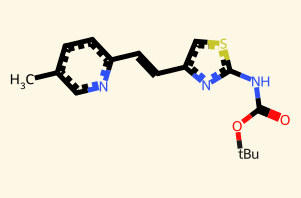 Cc1ccc(C=Cc2csc(NC(=O)OC(C)(C)C)n2)nc1